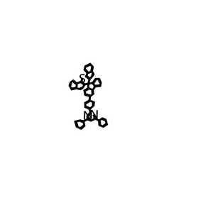 c1ccc(-c2cc(-c3ccccc3)nc(-c3ccc(-c4ccc5c(c4)-c4ccccc4C54c5ccc6ccccc6c5Sc5c4ccc4ccccc54)cc3)n2)cc1